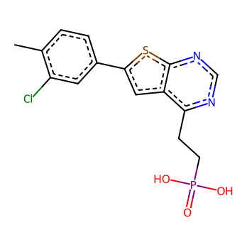 Cc1ccc(-c2cc3c(CCP(=O)(O)O)ncnc3s2)cc1Cl